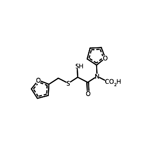 O=C(O)N(C(=O)C(S)SCc1ccco1)c1ccco1